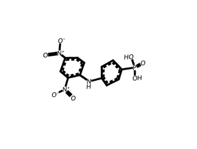 O=[N+]([O-])c1ccc(Nc2ccc(P(=O)(O)O)cc2)c([N+](=O)[O-])c1